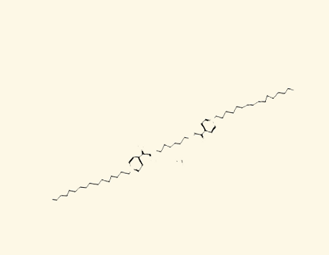 CCCCCCCCCCCCCCCC[n+]1ccc(C(=O)C(=O)OCCCCCCOC(=O)C(=O)c2cc[n+](CCCCCCCCCCCCCCCC)cc2)cc1.[Cl-].[Cl-]